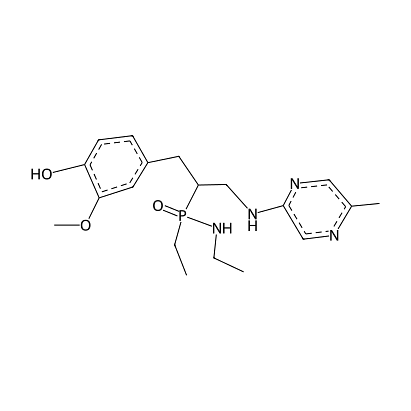 CCNP(=O)(CC)C(CNc1cnc(C)cn1)Cc1ccc(O)c(OC)c1